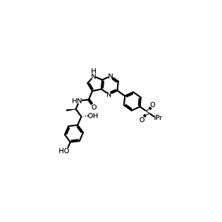 CC(C)S(=O)(=O)c1ccc(-c2cnc3[nH]cc(C(=O)N[C@H](C)[C@H](O)c4ccc(O)cc4)c3n2)cc1